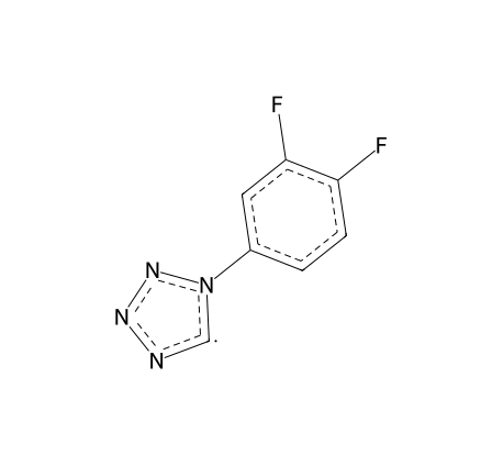 Fc1ccc(-n2[c]nnn2)cc1F